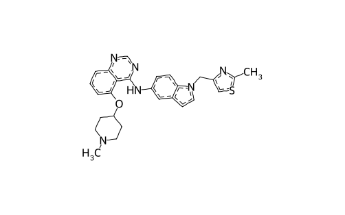 Cc1nc(Cn2ccc3cc(Nc4ncnc5cccc(OC6CCN(C)CC6)c45)ccc32)cs1